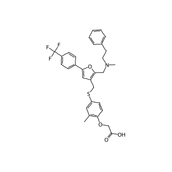 Cc1cc(SCc2cc(-c3ccc(C(F)(F)F)cc3)oc2CN(C)CCc2ccccc2)ccc1OCC(=O)O